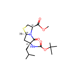 COC(=O)[C@@H]1CS[C@@H]2C[C@@](CC(C)C)(NC(=O)OC(C)(C)C)C(=O)N21